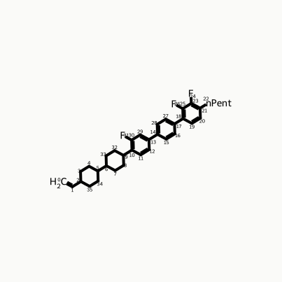 C=CC1CCC(C2CCC(c3ccc(-c4ccc(-c5ccc(CCCCC)c(F)c5F)cc4)cc3F)CC2)CC1